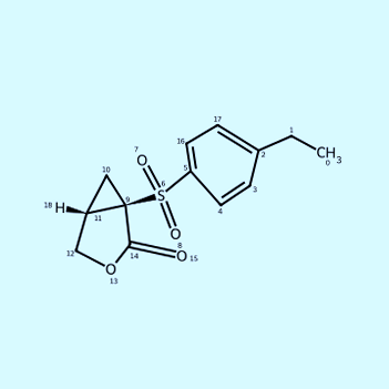 CCc1ccc(S(=O)(=O)[C@]23C[C@H]2COC3=O)cc1